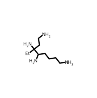 CCC(N)(CCN)C(N)CCCCN